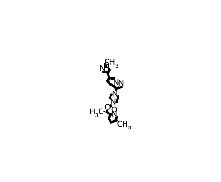 Cc1ccc([C@@H](C)OC(=O)N2CCN(c3cnn4cc(-c5cnn(C)c5)ccc34)CC2)nc1